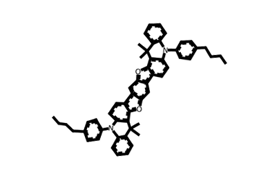 CCCCc1ccc(N2c3ccccc3C(C)(C)c3c2ccc2c3oc3cc4c(cc32)oc2c3c(ccc24)N(c2ccc(CCCC)cc2)c2ccccc2C3(C)C)cc1